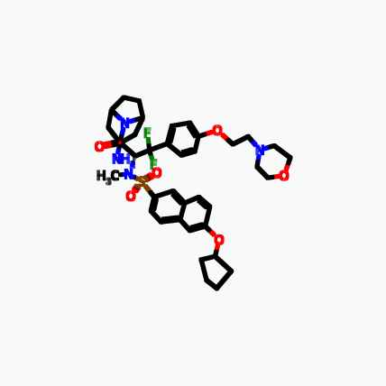 CN([C@H](C(=O)N1C2CCC1CC(N)C2)C(F)(F)c1ccc(OCCN2CCOCC2)cc1)S(=O)(=O)c1ccc2cc(OC3CCCC3)ccc2c1